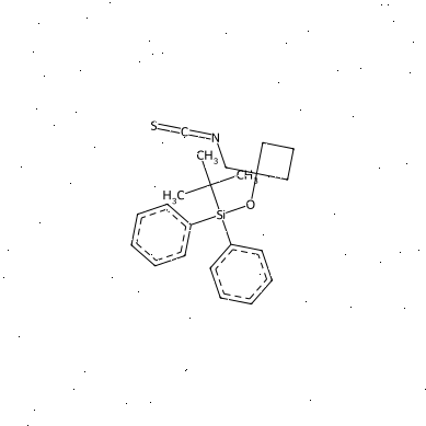 CC(C)(C)[Si](OC1(CN=C=S)CCC1)(c1ccccc1)c1ccccc1